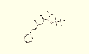 CC(C)[C@H](O[Si](C)(C)C(C)(C)C)C(=O)CC(=O)OCc1ccccc1